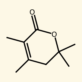 CC1=C(C)C(=O)OC(C)(C)C1